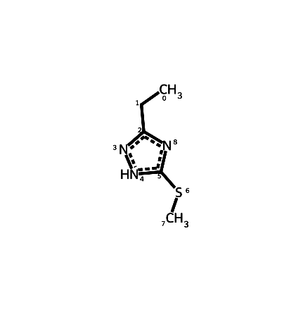 CCc1n[nH]c(SC)n1